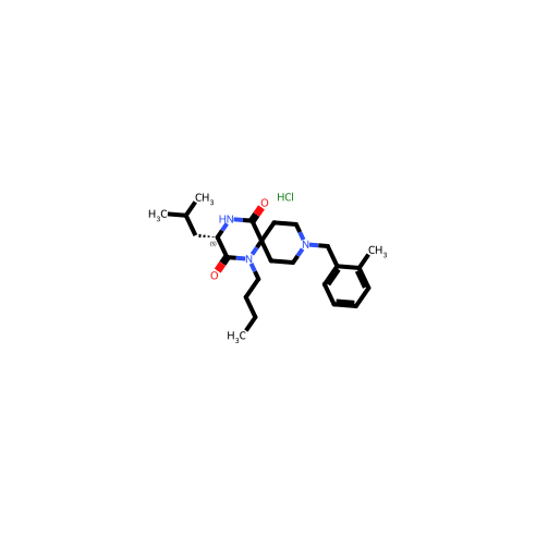 CCCCN1C(=O)[C@H](CC(C)C)NC(=O)C12CCN(Cc1ccccc1C)CC2.Cl